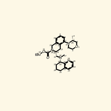 C[C@@H]1COCCN1c1cccc2c1C[C@H](CN(C)[C@H]1CCCc3cccnc31)N(C(=O)OC(C)(C)C)C2